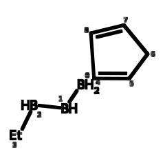 BBBCC.C1=CCC=C1